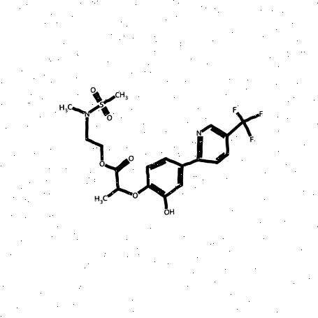 CC(Oc1ccc(-c2ccc(C(F)(F)F)cn2)cc1O)C(=O)OCCN(C)S(C)(=O)=O